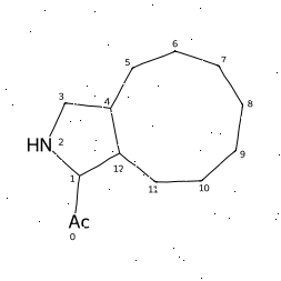 CC(=O)C1NCC2CCCCCCCC21